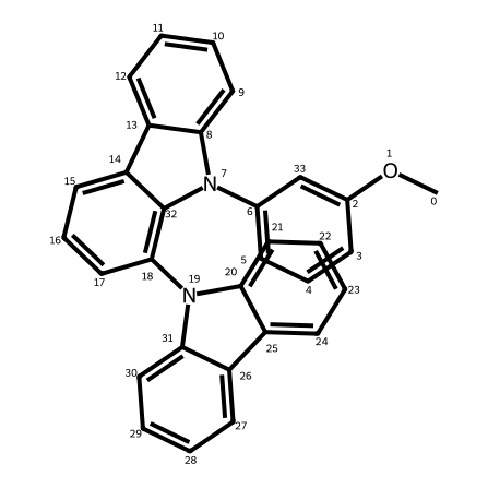 COc1cccc(-n2c3ccccc3c3cccc(-n4c5ccccc5c5ccccc54)c32)c1